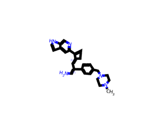 CN1CCN(Cc2ccc(C(/C=C3\CC=C3c3cc4cc[nH]c4cn3)=C/N)cc2)CC1